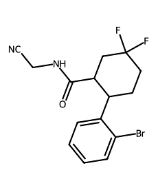 N#CCNC(=O)C1CC(F)(F)CCC1c1ccccc1Br